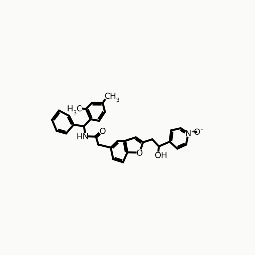 Cc1ccc(C(NC(=O)Cc2ccc3oc(CC(O)c4cc[n+]([O-])cc4)cc3c2)c2ccccc2)c(C)c1